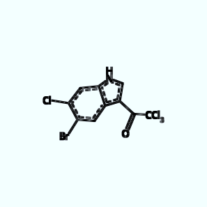 O=C(c1c[nH]c2cc(Cl)c(Br)cc12)C(Cl)(Cl)Cl